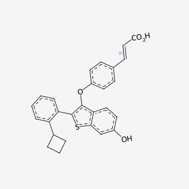 O=C(O)/C=C/c1ccc(Oc2c(-c3ccccc3C3CCC3)sc3cc(O)ccc23)cc1